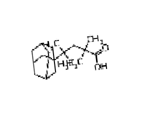 CC(C)(CC(C)(C)C12CC3CC(CC(C3)C1)C2)C(=O)O